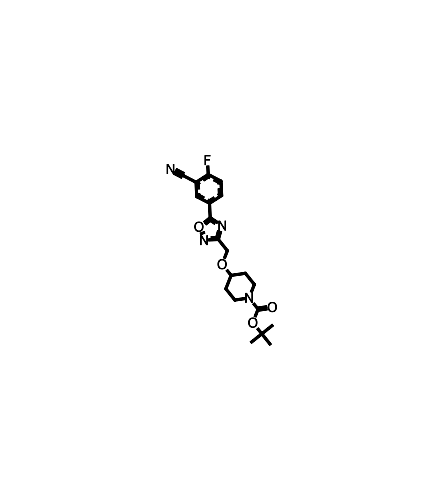 CC(C)(C)OC(=O)N1CCC(OCc2noc(-c3ccc(F)c(C#N)c3)n2)CC1